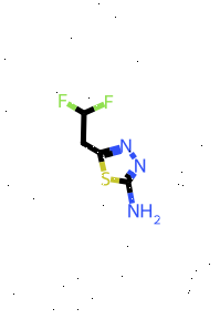 Nc1nnc(CC(F)F)s1